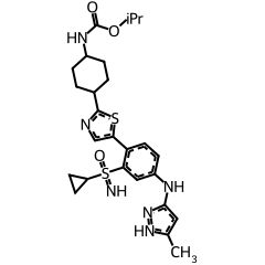 Cc1cc(Nc2ccc(-c3cnc(C4CCC(NC(=O)OC(C)C)CC4)s3)c(S(=N)(=O)C3CC3)c2)n[nH]1